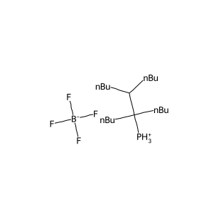 CCCCC(CCCC)C([PH3+])(CCCC)CCCC.F[B-](F)(F)F